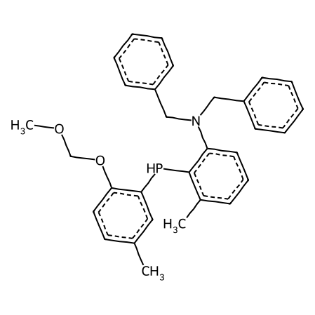 COCOc1ccc(C)cc1Pc1c(C)cccc1N(Cc1ccccc1)Cc1ccccc1